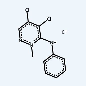 C[n+]1ncc(Cl)c(Cl)c1Nc1ccccc1.[Cl-]